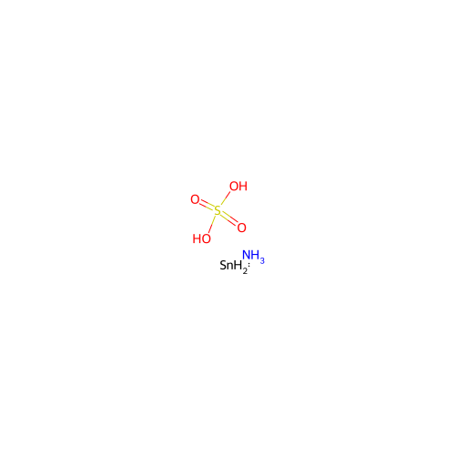 N.O=S(=O)(O)O.[SnH2]